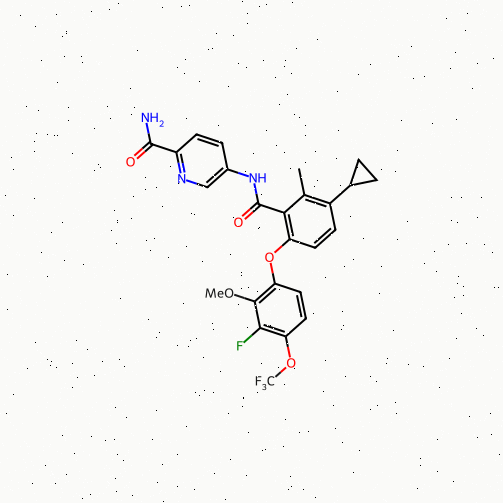 COc1c(Oc2ccc(C3CC3)c(C)c2C(=O)Nc2ccc(C(N)=O)nc2)ccc(OC(F)(F)F)c1F